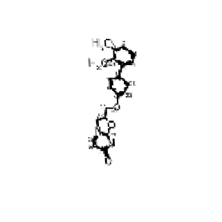 Cc1cccc(-c2ccc(OCC3Cn4ccc(=O)nc4O3)cc2)c1C